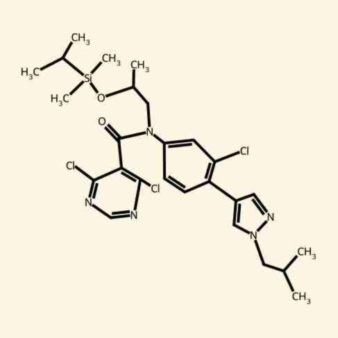 CC(C)Cn1cc(-c2ccc(N(CC(C)O[Si](C)(C)C(C)C)C(=O)c3c(Cl)ncnc3Cl)cc2Cl)cn1